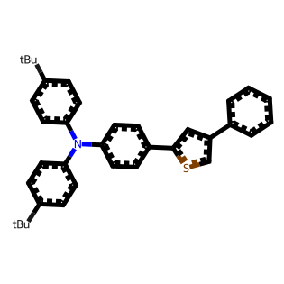 CC(C)(C)c1ccc(N(c2ccc(-c3cc(-c4ccccc4)cs3)cc2)c2ccc(C(C)(C)C)cc2)cc1